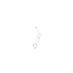 O=C(O)CCc1cccc(S(=O)(=O)N2CCN(c3ccc(Cl)cc3)CC2)c1